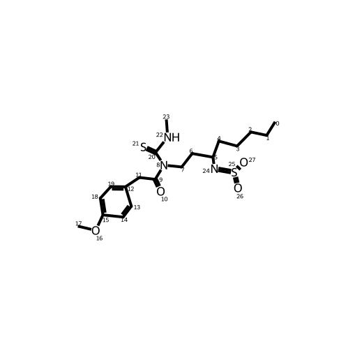 CCCCCC(CCN(C(=O)Cc1ccc(OC)cc1)C(=S)NC)N=S(=O)=O